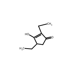 CCC1=C(O)C(CC)CC1=O